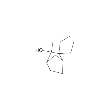 CCC1(CC)C2CCC(C2)C1(C)O